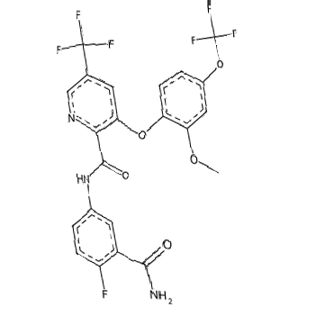 COc1cc(OC(F)(F)F)ccc1Oc1cc(C(F)(F)F)cnc1C(=O)Nc1ccc(F)c(C(N)=O)c1